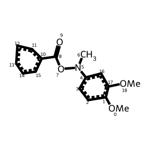 COc1ccc(N(C)OC(=O)c2ccccc2)cc1OC